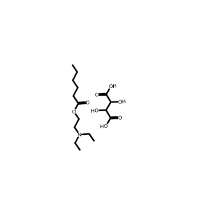 CCCCCC(=O)OCCN(CC)CC.O=C(O)C(O)C(O)C(=O)O